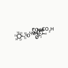 C=C1C[S+]([O-])C(C(NCOCCc2ccccc2)C(=O)O)N=C1C(=O)O